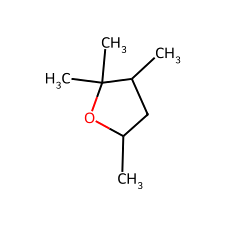 CC1CC(C)C(C)(C)O1